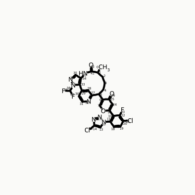 CC1CCCC(c2coc(-c3c(-n4cc(Cl)nn4)ccc(Cl)c3F)cc2=O)c2cc(ccn2)-c2c(cnn2C(F)F)NC1=O